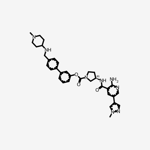 CN1CCC(NCc2ccc(-c3cccc(OC(=O)N4CC[C@@H](NC(=O)c5cc(-c6cnn(C)c6)cnc5N)C4)c3)cc2)CC1